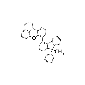 CC1(c2ccccc2)c2ccccc2-c2c(-c3cccc4c3Oc3cccc5cccc-4c35)cccc21